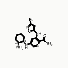 CCc1cc(Nc2cc(N[C@@H]3CCCC[C@@H]3N)cnc2C(N)=O)on1